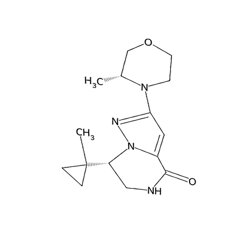 C[C@@H]1COCCN1c1cc2n(n1)[C@@H](C1(C)CC1)CNC2=O